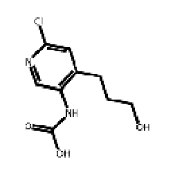 O=C(O)Nc1cnc(Cl)cc1CCCO